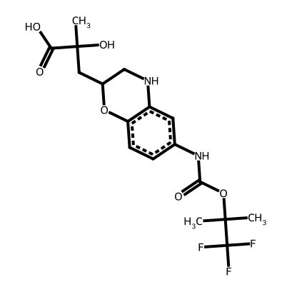 CC(O)(CC1CNc2cc(NC(=O)OC(C)(C)C(F)(F)F)ccc2O1)C(=O)O